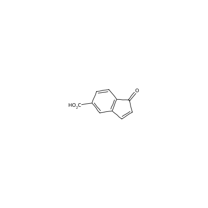 O=C(O)c1ccc2c(c1)C=CC2=O